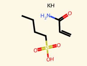 C=CC(N)=O.CCCCS(=O)(=O)O.[KH]